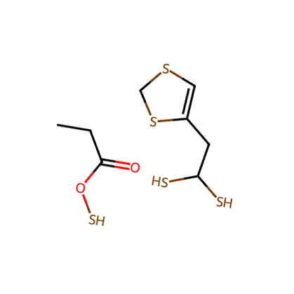 CCC(=O)OS.SC(S)CC1=CSCS1